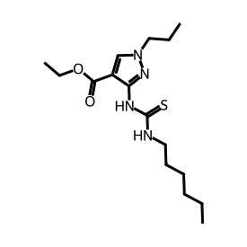 CCCCCCNC(=S)Nc1nn(CCC)cc1C(=O)OCC